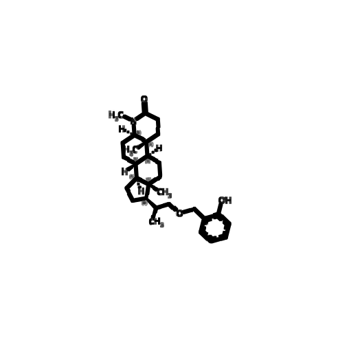 CC(COCc1ccccc1O)[C@H]1CC[C@H]2[C@@H]3CC[C@H]4N(C)C(=O)CC[C@]4(C)[C@H]3CC[C@]12C